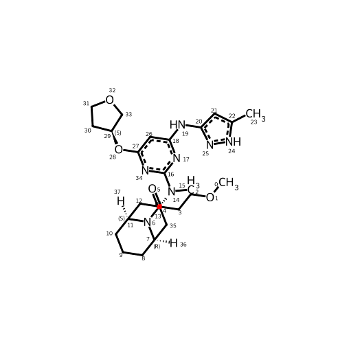 COCCC(=O)N1[C@@H]2CCC[C@H]1C[C@H](N(C)c1nc(Nc3cc(C)[nH]n3)cc(O[C@H]3CCOC3)n1)C2